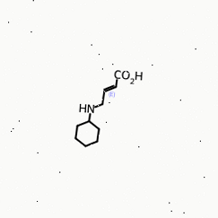 O=C(O)/C=C/CNC1CCCCC1